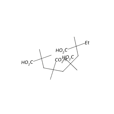 CCC(C)(CC(C)(CC(C)(CC(C)(C)C(=O)O)C(=O)O)C(=O)O)C(=O)O